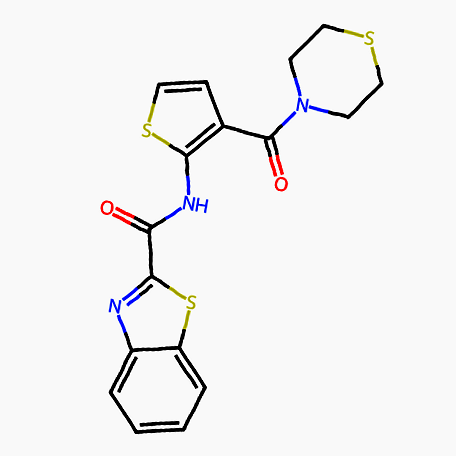 O=C(Nc1sccc1C(=O)N1CCSCC1)c1nc2ccccc2s1